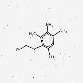 Cc1cc(C)c(NCC(C)C)c(C)c1N